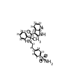 CC(NCCc1ccc(S(N)(=O)=O)cc1)(C(=O)c1c[nH]c2ncccc12)c1ccccc1